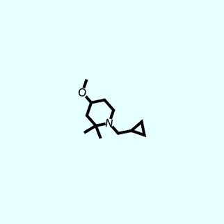 COC1CCN(CC2CC2)C(C)(C)C1